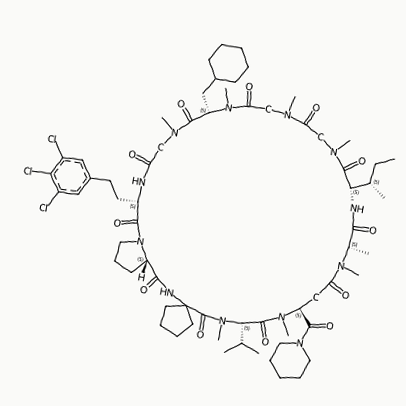 CC[C@H](C)[C@@H]1NC(=O)[C@H](C)N(C)C(=O)C[C@@H](C(=O)N2CCCCC2)N(C)C(=O)[C@H](C(C)C)N(C)C(=O)C2(CCCC2)NC(=O)[C@@H]2CCCN2C(=O)[C@H](CCc2cc(Cl)c(Cl)c(Cl)c2)NC(=O)CN(C)C(=O)[C@H](CC2CCCCC2)N(C)C(=O)CN(C)C(=O)CN(C)C1=O